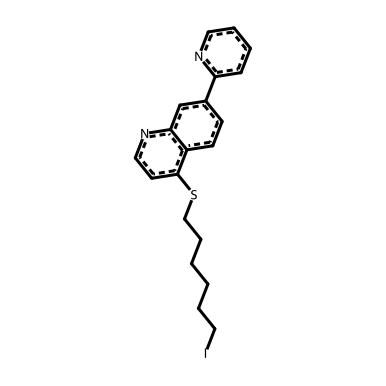 ICCCCCCSc1ccnc2cc(-c3ccccn3)ccc12